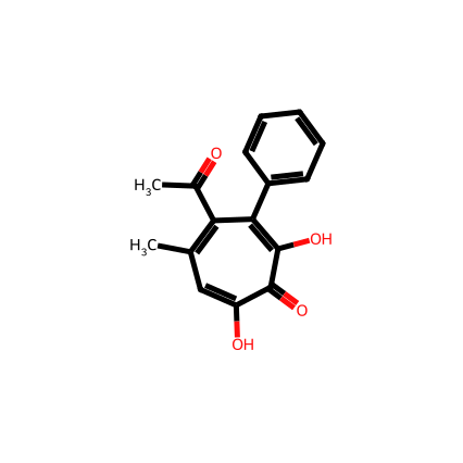 CC(=O)c1c(C)cc(O)c(=O)c(O)c1-c1ccccc1